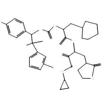 CC(C)(c1cccc(Cl)c1)C(OC(=O)NC(CC1CCCCC1)C(=O)NC(CC1CCNC1=O)C(=O)C(=O)NC1CC1)c1ccc(F)cc1